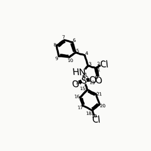 O=C(Cl)C(Cc1ccccc1)NS(=O)(=O)c1ccc(Cl)cc1